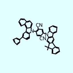 CC1(C)c2ccccc2-c2cc3c4ccccc4n(-c4cc(C#N)c(-n5c6c#cc(-c7ccccc7)cc6c6c7ccccc7ccc65)cc4C#N)c3cc21